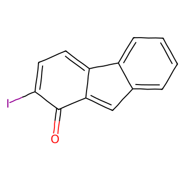 O=C1C(I)=CC=C2C1=Cc1ccccc12